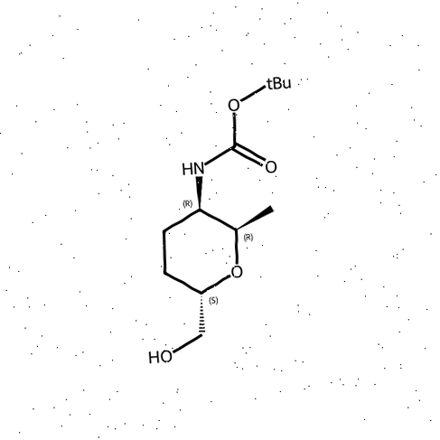 C[C@H]1O[C@H](CO)CC[C@H]1NC(=O)OC(C)(C)C